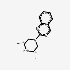 C[C@@H]1CN(c2ncc3ccccc3n2)C[C@H](C)N1